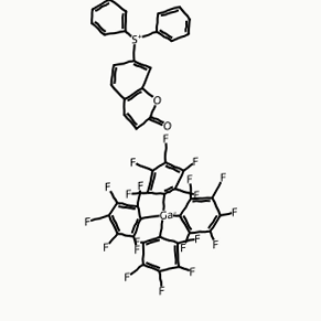 Fc1c(F)c(F)[c]([Ga-]([c]2c(F)c(F)c(F)c(F)c2F)([c]2c(F)c(F)c(F)c(F)c2F)[c]2c(F)c(F)c(F)c(F)c2F)c(F)c1F.O=c1ccc2ccc([S+](c3ccccc3)c3ccccc3)cc2o1